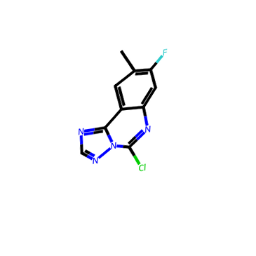 Cc1cc2c(cc1F)nc(Cl)n1ncnc21